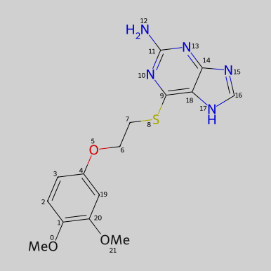 COc1ccc(OCCSc2nc(N)nc3nc[nH]c23)cc1OC